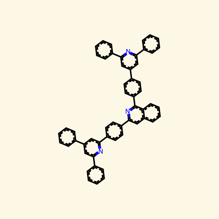 c1ccc(-c2cc(-c3ccccc3)nc(-c3ccc(-c4cc5ccccc5c(-c5ccc(-c6cc(-c7ccccc7)nc(-c7ccccc7)c6)cc5)n4)cc3)c2)cc1